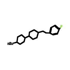 CCCCC1CCC(C2CCC(CCc3ccc(F)cc3)CC2)CC1